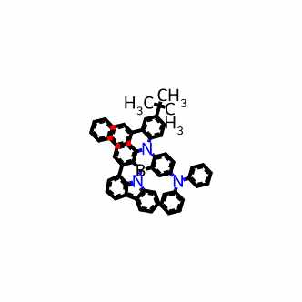 CC(C)(C)c1ccc(N2c3ccc(N(c4ccccc4)c4ccccc4)cc3B3c4c(cc(-c5ccccc5)cc42)-c2cccc4c5ccccc5n3c24)c(-c2ccccc2)c1